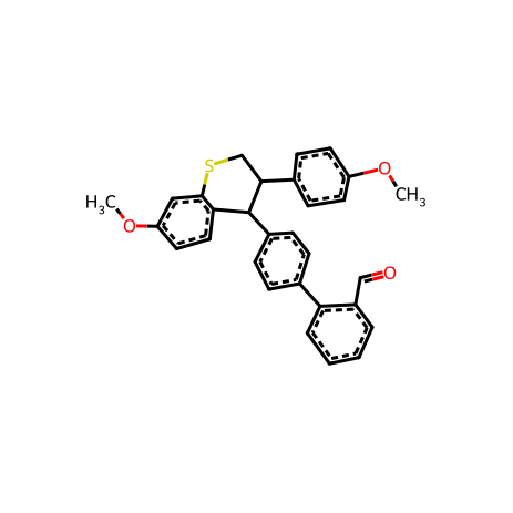 COc1ccc(C2CSc3cc(OC)ccc3C2c2ccc(-c3ccccc3C=O)cc2)cc1